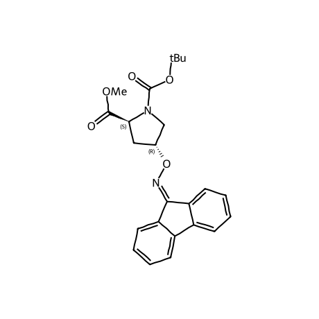 COC(=O)[C@@H]1C[C@@H](ON=C2c3ccccc3-c3ccccc32)CN1C(=O)OC(C)(C)C